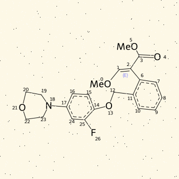 CO/C=C(/C(=O)OC)c1ccccc1COc1ccc(N2CCOCC2)cc1F